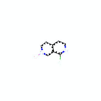 [O-][n+]1ccc2ccnc(Cl)c2c1